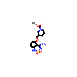 CC(C)(C)OC(=O)N1CCCC(COc2cccc3c2C(N)=NS(=O)(=O)N3)C1